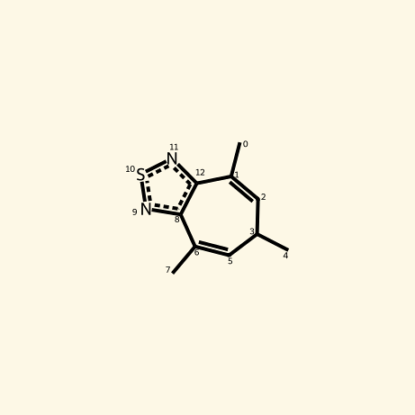 CC1=CC(C)C=C(C)c2nsnc21